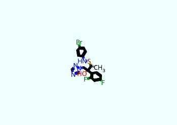 C[C@@H](SNc1ccc(Br)cc1)[C@](O)(Cn1cncn1)c1ccc(F)cc1F